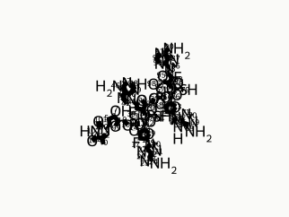 Cc1cn([C@H]2C[C@H](O)[C@@H](COP(=O)(S)O[C@H]3[C@@H](F)[C@H](n4cnc5c(N)ncnc54)O[C@@H]3COP(=O)(S)OC3[C@@H](F)[C@H](n4cnc5c(N)ncnc54)O[C@@H]3COP(=O)(S)O[C@H]3[C@@H](F)[C@H](N4CNc5c(N)ncnc54)O[C@@H]3COP(=O)(S)OC3[C@@H](F)[C@H](n4cnc5c(N)ncnc54)O[C@@H]3CO)O2)c(=O)[nH]c1=O